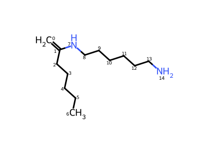 C=C(CCCCC)NCCCCCCN